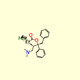 CCC(=O)O[C@](Cc1ccccc1)(c1ccccc1)[C@H](C)CN(C)C.Cl.[Au]